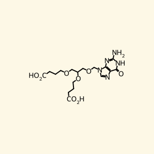 Nc1nc2c(ncn2COCC(COCCCC(=O)O)OCCCC(=O)O)c(=O)[nH]1